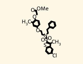 COC(=O)COc1ccc(OCCN(CCc2ccccc2)S(=O)(=O)c2sc3ccc(Cl)cc3c2C)cc1C